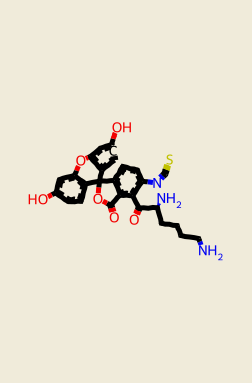 NCCCC[C@H](N)C(=O)c1c(N=C=S)ccc2c1C(=O)OC21c2ccc(O)cc2Oc2cc(O)ccc21